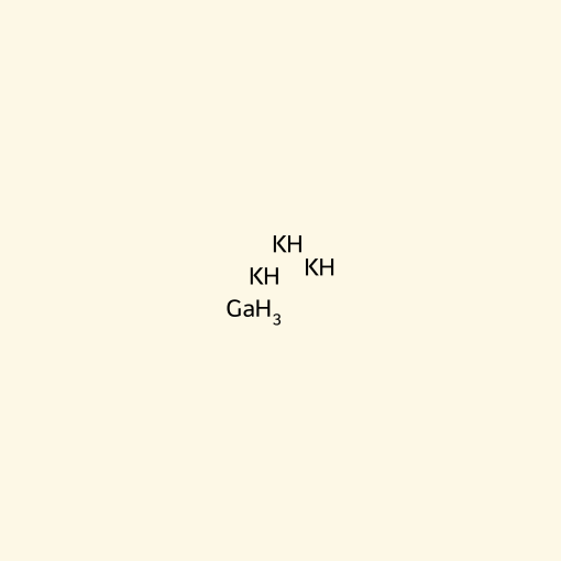 [GaH3].[KH].[KH].[KH]